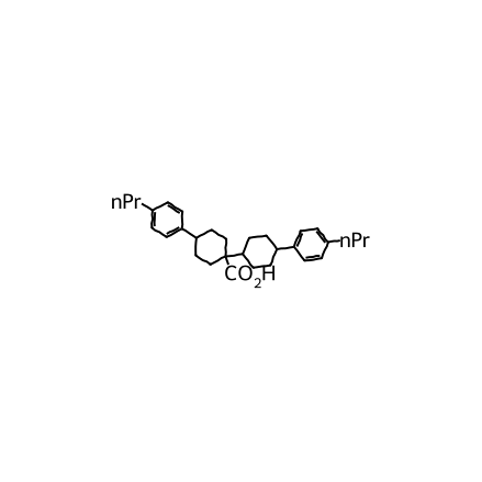 CCCc1ccc(C2CCC(C3(C(=O)O)CCC(c4ccc(CCC)cc4)CC3)CC2)cc1